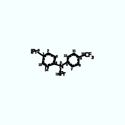 CC(C)c1ccc(N(c2ccc(C(F)(F)F)cc2)C(C)C)nc1